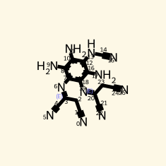 N#CC/C(C#N)=N\c1c(N)c(N)c(NC#N)c(N)c1/N=C(/C#N)CC#N